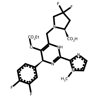 CCOC(=O)OC1=C(CN2CC(F)(F)C[C@H]2C(=O)O)NC(c2nccn2C)=N[C@H]1c1ccc(F)c(F)c1